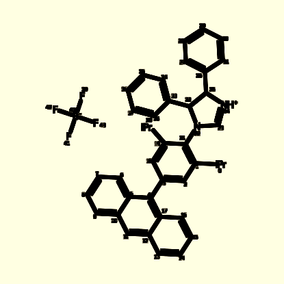 CC(C)c1cc(-c2c3ccccc3cc3ccccc23)cc(C(C)C)c1N1C=[NH+]C(c2ccccc2)C1c1ccccc1.F[B-](F)(F)F